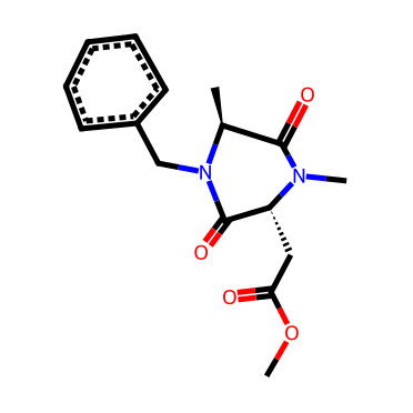 COC(=O)C[C@@H]1C(=O)N(Cc2ccccc2)[C@@H](C)C(=O)N1C